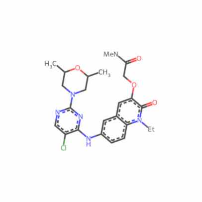 CCn1c(=O)c(OCC(=O)NC)cc2cc(Nc3nc(N4CC(C)OC(C)C4)ncc3Cl)ccc21